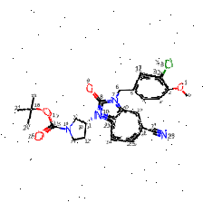 COc1ccc(Cn2c(=O)n([C@@H]3CCN(C(=O)OC(C)(C)C)C3)c3ccc(C#N)cc32)cc1Cl